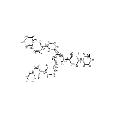 C1=Cc2ccc(-c3cccc(-c4cc(-c5ccc(-c6cccnc6)cc5)nc(-c5cccc(-c6ccc7ccccc7c6)c5)n4)c3)cc2CC1